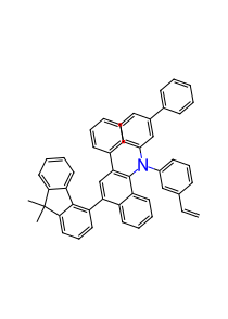 C=Cc1cccc(N(c2cccc(-c3ccccc3)c2)c2c(-c3ccccc3)cc(-c3cccc4c3-c3ccccc3C4(C)C)c3ccccc23)c1